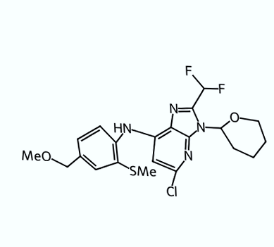 COCc1ccc(Nc2cc(Cl)nc3c2nc(C(F)F)n3C2CCCCO2)c(SC)c1